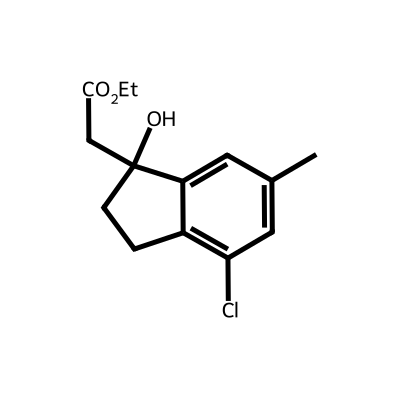 CCOC(=O)CC1(O)CCc2c(Cl)cc(C)cc21